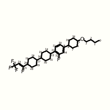 CCCCOC1CCC(c2ccc(C3CCC(C4CCC(/C(F)=C/C(F)(F)F)CC4)CC3)c(F)c2)CC1